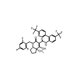 CC12CCCN1N(Cc1c(F)cc(I)cc1F)C(=O)C(C(=O)Nc1ccc(C(F)(F)F)cc1-c1ccc(C(F)(F)F)nc1)=C2O